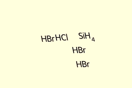 Br.Br.Br.Cl.[SiH4]